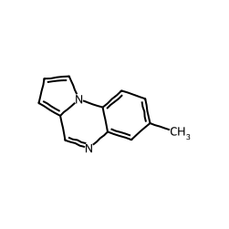 Cc1ccc2c(c1)ncc1cccn12